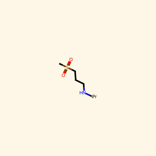 CC(C)NCCCS(C)(=O)=O